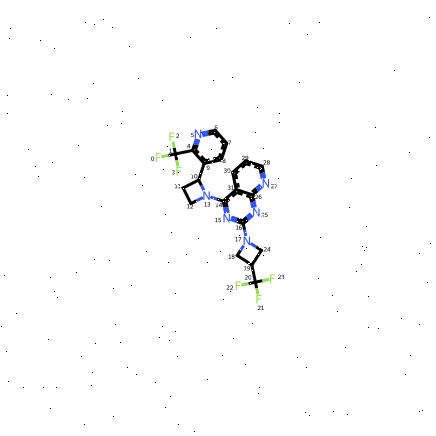 FC(F)(F)c1ncccc1C1CCN1c1nc(N2CC(C(F)(F)F)C2)nc2ncccc12